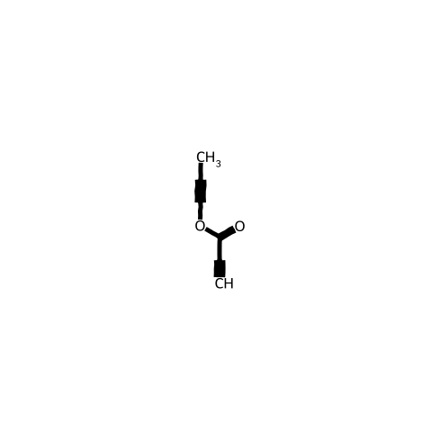 C#CC(=O)OC#CC